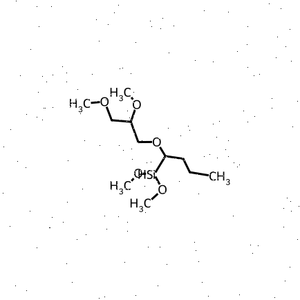 CCCC(OCC(COC)OC)[SiH](OC)OC